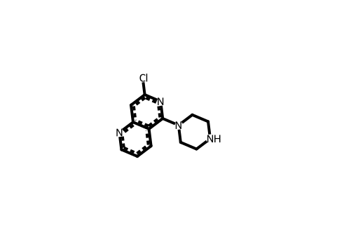 Clc1cc2ncccc2c(N2CCNCC2)n1